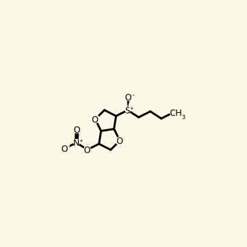 CCCC[S@+]([O-])C1COC2C(O[N+](=O)[O-])COC21